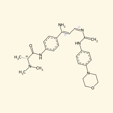 C=C(/N=C\C=C(/N)c1ccc(NC(=O)[C@@H](C)N(C)C)cc1)Nc1ccc(N2CCOCC2)cc1